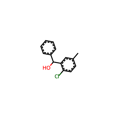 Cc1ccc(Cl)c(C(O)c2ccccc2)c1